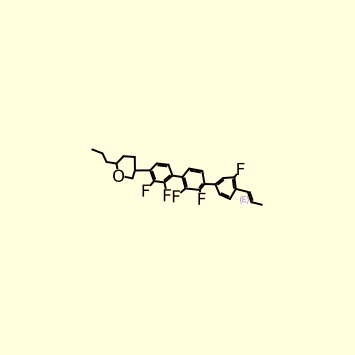 C/C=C/c1ccc(-c2ccc(-c3ccc(C4CCC(CCC)OC4)c(F)c3F)c(F)c2F)cc1F